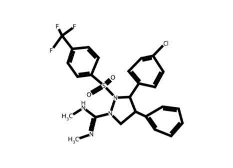 CN=C(NC)N1CC(c2ccccc2)C(c2ccc(Cl)cc2)N1S(=O)(=O)c1ccc(C(F)(F)F)cc1